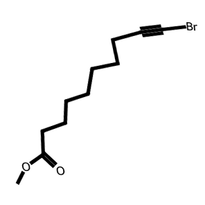 COC(=O)CCCCCCCC#CBr